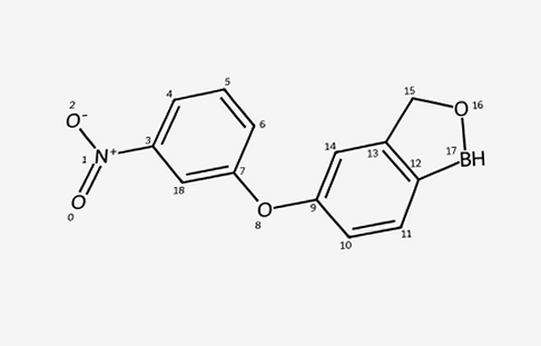 O=[N+]([O-])c1cccc(Oc2ccc3c(c2)COB3)c1